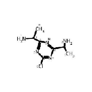 CC(N)c1nc(Cl)nc(C(C)N)n1